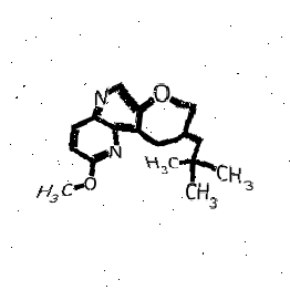 COc1ccc2ncc3c(c2n1)CC(CC(C)(C)C)CO3